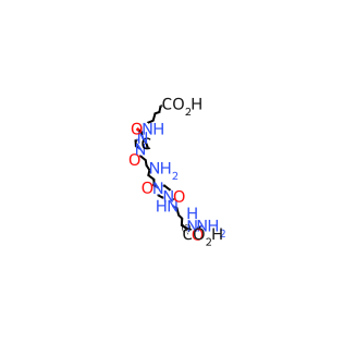 NC(=O)N[C@@H](CCCCNC(=O)N1CCN(C(=O)CCC(N)CCC(=O)N2CCN(C(=O)NCCCCCC(=O)O)CC2)CC1)C(=O)O